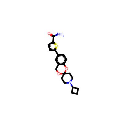 NC(=O)c1ccc(-c2ccc3c(c2)COC2(CCN(C4CCC4)CC2)O3)s1